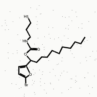 CCCCCCCCCCC(OC(=O)NCCCS)c1ccc(Br)o1